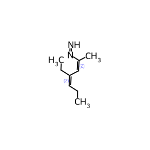 CC/C=C(\C=C(\C)N=N)CC